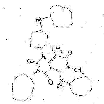 Cc1c(=O)n(C)c(N(C)C2CCCCCCC2)c2c(=O)n(C3CCCCCCC3)c(=O)n(C3CCCC(BC4CCCCCCC4)CC3)c12